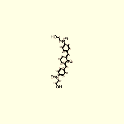 CCN(CCO)c1ccc(C=C2CCCC(=Cc3ccc(N(CC)CCO)cc3)C2=O)cc1